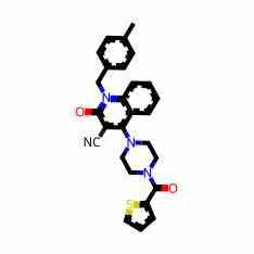 Cc1ccc(Cn2c(=O)c(C#N)c(N3CCN(C(=O)c4cccs4)CC3)c3ccccc32)cc1